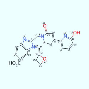 O=C(O)c1ccc2nc(CN3CCC(c4cccc(O)n4)=CC3=O)n(C[C@@H]3CCO3)c2c1